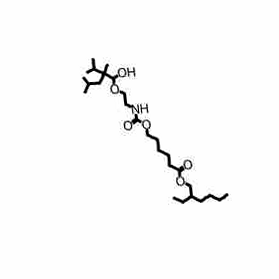 CCCCC(CC)COC(=O)CCCCCOC(=O)NCCOC(O)C(C)(CC(C)C)C(C)C